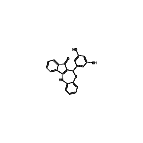 O=C1C2=C(Nc3ccccc3SC2c2cc(O)cc(O)c2)c2ccccc21